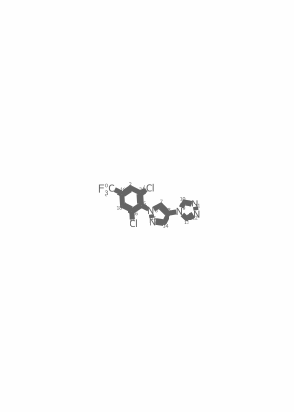 FC(F)(F)c1cc(Cl)c(-n2cc(-n3cnnc3)cn2)c(Cl)c1